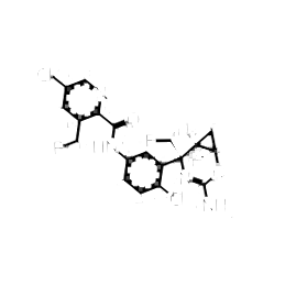 NC1=N[C@](CF)(c2cc(NC(=O)c3ncc(Cl)cc3CF)ccc2Cl)[C@H]2C[C@H]2O1